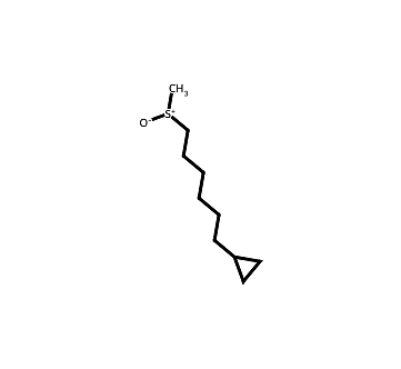 C[S+]([O-])CCCCCCC1[CH]C1